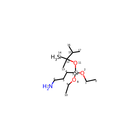 CCO[Si](CCCN)(OCC)OC(C)([SiH3])C(C)C